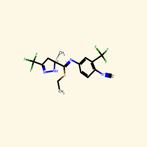 [C-]#[N+]c1ccc(/N=C(\SCC)[C@]2(C)CC(C(F)(F)F)=NN2)cc1C(F)(F)F